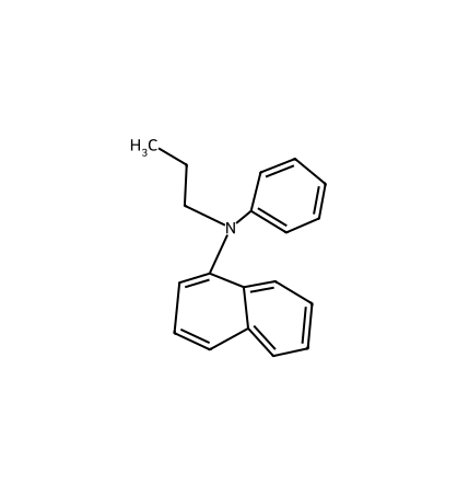 CCCN(c1ccccc1)c1cccc2ccccc12